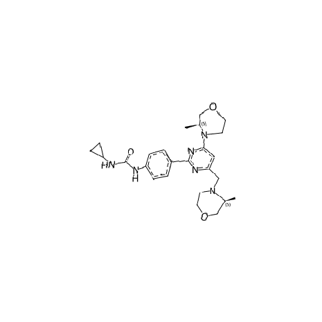 C[C@H]1COCCN1Cc1cc(N2CCOC[C@@H]2C)nc(-c2ccc(NC(=O)NC3CC3)cc2)n1